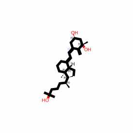 C=C1/C(=C\C=C2/CCC[C@]3(C)[C@@H]([C@@H](C)CCCC(C)(C)O)CC[C@@H]23)C[C@H](O)C[C@]1(C)O